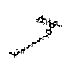 C=CCC(C)(CC)CC(=O)NCCOCCOCCOCCOCC(=O)N1CC=C(c2cc(C(=O)NCc3c(C)cc(C)[nH]c3=O)c3cnn(C(C)C)c3c2)CC1